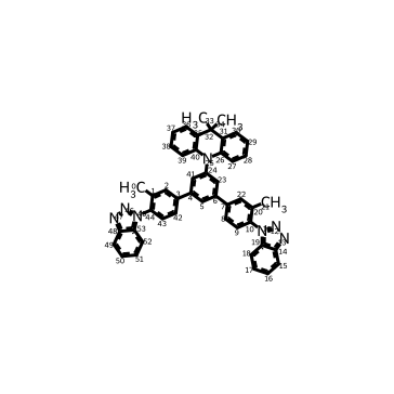 Cc1cc(-c2cc(-c3ccc(-n4nnc5ccccc54)c(C)c3)cc(N3c4ccccc4C(C)(C)c4ccccc43)c2)ccc1-n1nnc2ccccc21